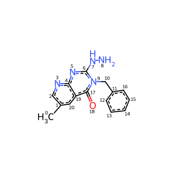 Cc1cnc2nc(NN)n(Cc3ccccc3)c(=O)c2c1